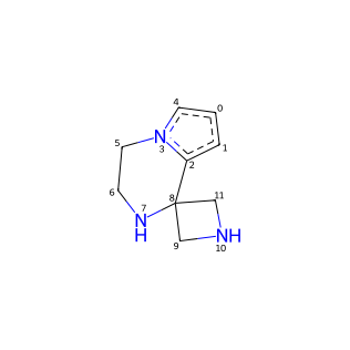 c1cc2n(c1)CCNC21CNC1